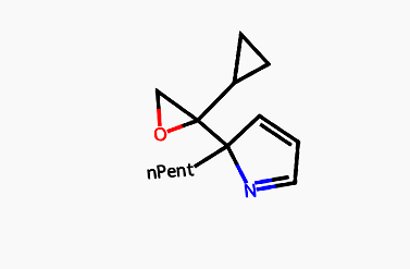 CCCCCC1(C2(C3CC3)CO2)C=CC=N1